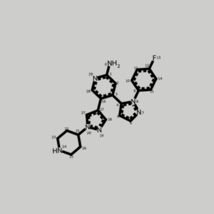 Nc1cc(-c2ccnn2-c2ccc(F)cc2)c(-c2cnn(C3CCNCC3)c2)cn1